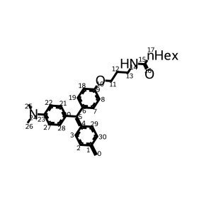 C=c1ccc(=C(c2ccc(OCCCNC(=O)CCCCCC)cc2)c2ccc(N(C)C)cc2)cc1